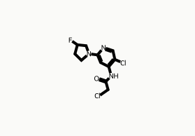 O=C(CCl)Nc1cc(N2CCC(F)C2)ncc1Cl